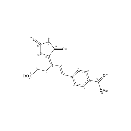 CCOC(=O)CCC(/C=C/c1ccc(C(=O)OC)cc1)=C1\SC(=S)NC1=O